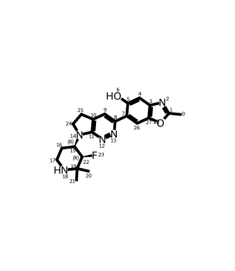 Cc1nc2cc(O)c(-c3cc4c(nn3)N([C@@H]3CCNC(C)(C)[C@@H]3F)CC4)cc2o1